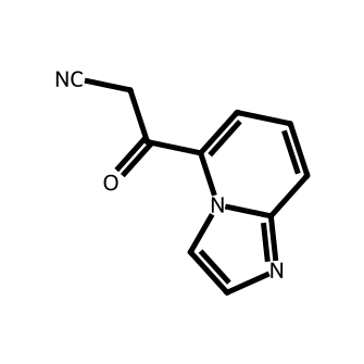 N#CCC(=O)c1cccc2nccn12